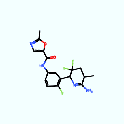 Cc1ncc(C(=O)Nc2ccc(F)c(C3N=C(N)C(C)CC3(F)F)c2)o1